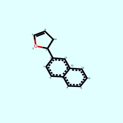 C1=COC(c2ccc3ccccc3c2)C1